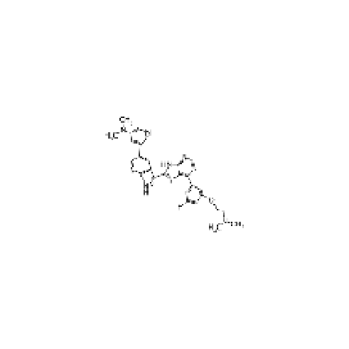 CN(C)CCOc1cc(F)cc(-c2ccnc3[nH]c(-c4n[nH]c5ncc(-c6cncc(N(C)C)c6)cc45)nc23)c1